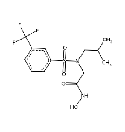 CC(C)CN(CC(=O)NO)S(=O)(=O)c1cccc(C(F)(F)F)c1